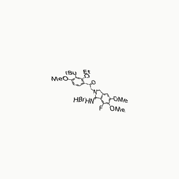 Br.CCOc1c(C(=O)CN2Cc3cc(OC)c(OC)c(F)c3C2=N)ccc(OC)c1C(C)(C)C